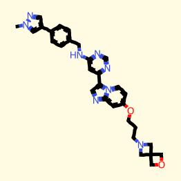 Cn1cc(-c2ccc(CNc3cc(-c4cnc5cc(OCCCN6CC7(COC7)C6)ccn45)ncn3)cc2)cn1